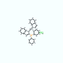 C1=C[CH]([Zr+2][CH]2C(P(c3ccccc3)c3ccccc3)=Cc3ccccc32)c2ccccc21.[Cl-].[Cl-]